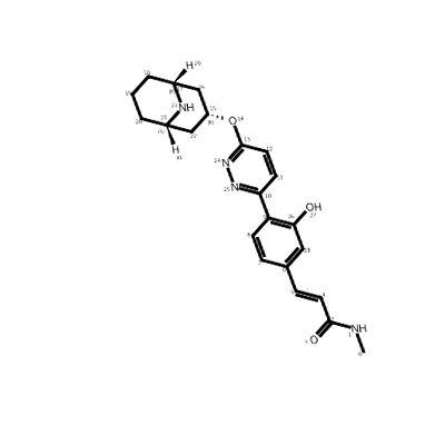 CNC(=O)/C=C/c1ccc(-c2ccc(O[C@H]3C[C@H]4CCC[C@@H](C3)N4)nn2)c(O)c1